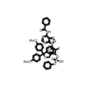 COc1ccc(C(OCC2OC(n3nnc4c(NC(=O)c5ccccc5)ncnc43)C(F)C2OP(=O)(O)Oc2ccccc2)(c2ccccc2)c2ccc(OC)cc2)cc1